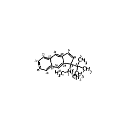 [CH3][Hf]([CH3])[C]1(C(C)(C)C)C=Cc2cc3ccccc3cc21